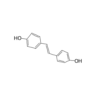 Oc1ccc(C=Cc2ccc(O)cc2)cc1